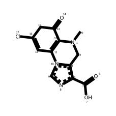 CN1Cc2c(C(=O)O)ncn2C2=C1C(=O)CC(Cl)=C2